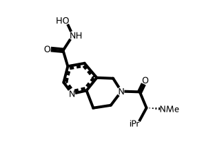 CN[C@@H](C(=O)N1CCc2ncc(C(=O)NO)cc2C1)C(C)C